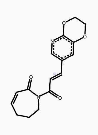 O=C1C=CCCCN1C(=O)/C=C/c1cnc2c(c1)OCCO2